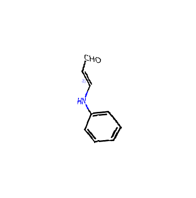 O=C/C=C/Nc1ccccc1